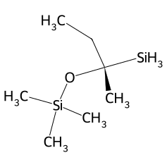 CC[C@](C)([SiH3])O[Si](C)(C)C